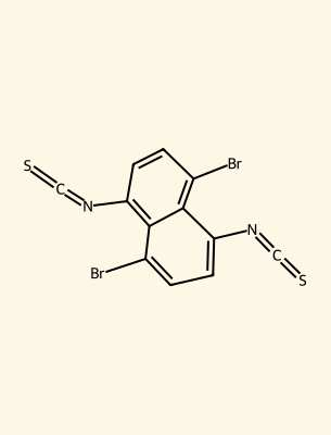 S=C=Nc1ccc(Br)c2c(N=C=S)ccc(Br)c12